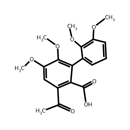 COc1cccc(-c2c(OC)c(OC)cc(C(C)=O)c2C(=O)O)c1OC